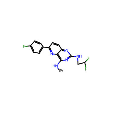 CC(C)Nc1nc(NCC(F)F)nc2ccc(-c3ccc(F)cc3)nc12